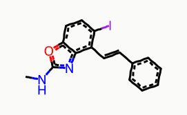 CNc1nc2c(C=Cc3ccccc3)c(I)ccc2o1